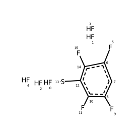 F.F.F.F.F.Fc1cc(F)c(F)c([S])c1F